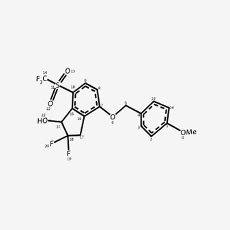 COc1ccc(COc2ccc(S(=O)(=O)C(F)(F)F)c3c2CC(F)(F)C3O)cc1